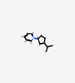 CC(C)C1CCC([n+]2ccccc2)C1